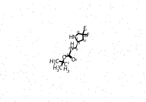 CC(C)(C)OC(=O)NC[C@@H]1CC(F)(F)CN1